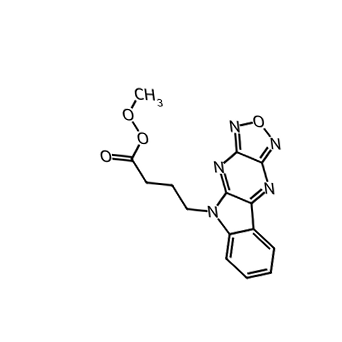 COOC(=O)CCCn1c2ccccc2c2nc3nonc3nc21